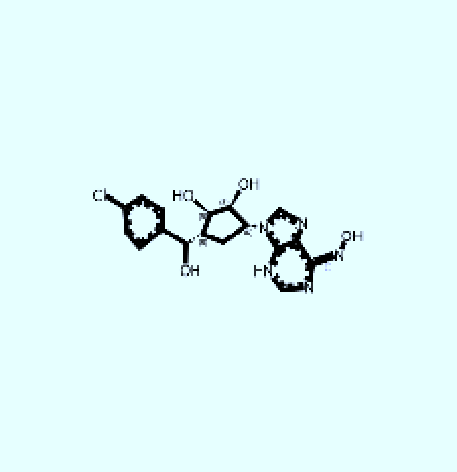 O/N=c1/nc[nH]c2c1ncn2[C@@H]1C[C@H](C(O)c2ccc(Cl)cc2)[C@@H](O)[C@H]1O